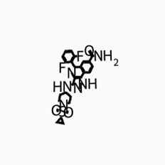 NC(=O)c1ccc2c(c1)c(-c1c(F)cccc1F)nc1c(NC3CCN(S(=O)(=O)C4CC4)CC3)n[nH]c12